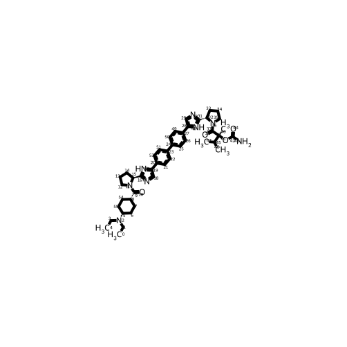 CCN(CC)[C@H]1CC[C@@H](C(=O)N2CCC[C@H]2c2ncc(-c3ccc(-c4ccc(-c5cnc([C@@H]6CCCN6C(=O)[C@@](C)(OC(N)=O)C(C)C)[nH]5)cc4)cc3)[nH]2)CC1